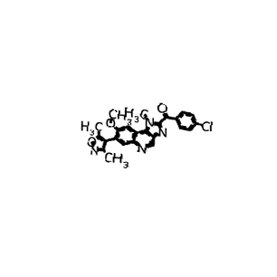 COc1cc2c(cc1-c1c(C)noc1C)ncc1nc(C(=O)c3ccc(Cl)cc3)n(C)c12